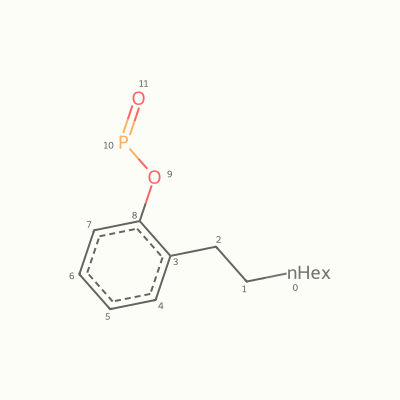 CCCCCCCCc1ccccc1OP=O